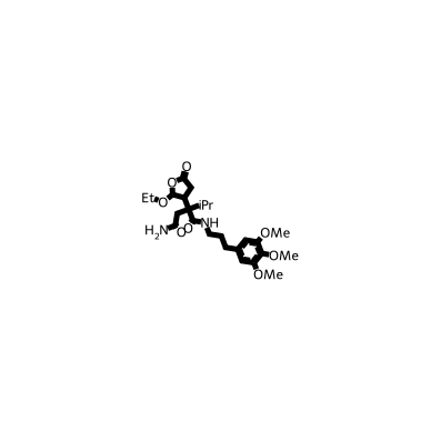 CCOC1OC(=O)CC1C(CC(N)=O)(C(=O)NCCCc1cc(OC)c(OC)c(OC)c1)C(C)C